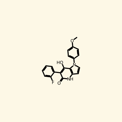 COc1ccc(-n2ccc3[nH]c(=O)c(-c4ccccc4F)c(O)c32)cc1